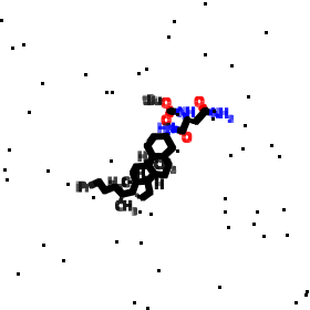 CC(C)CCC[C@@H](C)[C@H]1CC[C@H]2[C@@H]3CCC4C[C@H](NC(=O)[C@H](CC(N)=O)NC(=O)OC(C)(C)C)CC[C@]4(C)[C@H]3CC[C@]12C